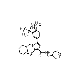 Cc1c(C(=O)NCC2CCOCC2)cc(-c2ccc([SH](=O)=O)c(C(C)(C)C)c2)n1CC1CCCCC1